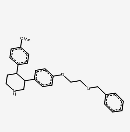 COc1ccc(C2CCNCC2c2ccc(OCCOCc3ccccc3)cc2)cc1